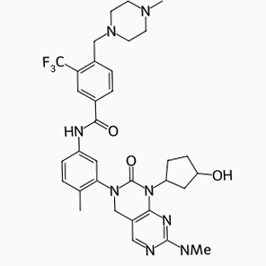 CNc1ncc2c(n1)N(C1CCC(O)C1)C(=O)N(c1cc(NC(=O)c3ccc(CN4CCN(C)CC4)c(C(F)(F)F)c3)ccc1C)C2